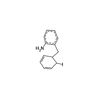 Nc1ccccc1CC1C=CC=CC1I